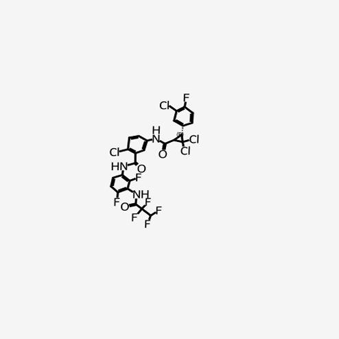 O=C(Nc1ccc(F)c(NC(=O)C(F)(F)C(F)F)c1F)c1cc(NC(=O)C2[C@H](c3ccc(F)c(Cl)c3)C2(Cl)Cl)ccc1Cl